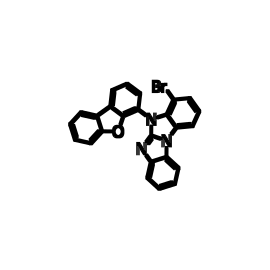 Brc1cccc2c1n(-c1cccc3c1oc1ccccc13)c1nc3ccccc3n21